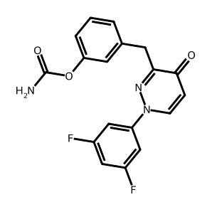 NC(=O)Oc1cccc(Cc2nn(-c3cc(F)cc(F)c3)ccc2=O)c1